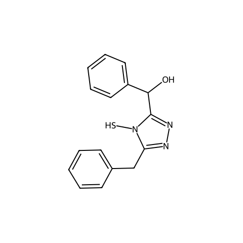 OC(c1ccccc1)c1nnc(Cc2ccccc2)n1S